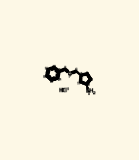 Cl.N[C@@H]1CC[C@H](COCc2ccccc2)C1